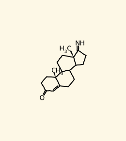 C[C@]12CCC(=O)C=C1CCC1C2CC[C@]2(C)C(=N)CCC12